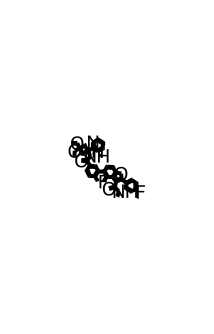 CNC(=O)c1c(-c2ccc(F)cc2)oc2ccc(-c3cc(C(=O)NC4(c5ncccn5)CC(OC)(OC)C4)ccc3C)c(F)c12